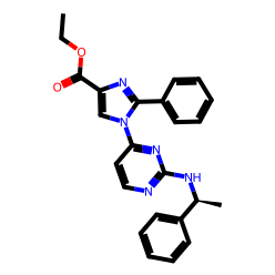 CCOC(=O)c1cn(-c2ccnc(N[C@@H](C)c3ccccc3)n2)c(-c2ccccc2)n1